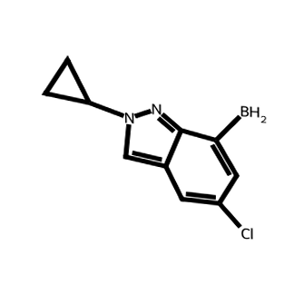 Bc1cc(Cl)cc2cn(C3CC3)nc12